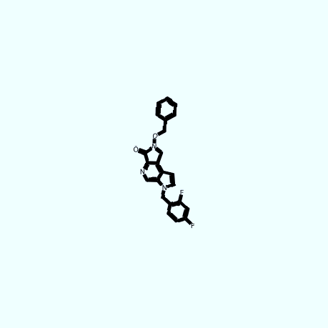 O=C1c2ncc3c(ccn3Cc3ccc(F)cc3F)c2CN1OCc1ccccc1